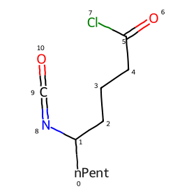 CCCCCC(CCCC(=O)Cl)N=C=O